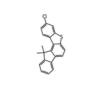 CC1(C)c2ccccc2-c2ccc3sc4cc(Cl)ccc4c3c21